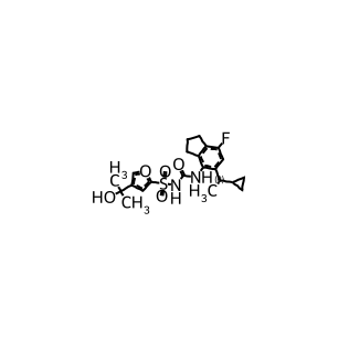 C[C@@H](c1cc(F)c2c(c1NC(=O)NS(=O)(=O)c1cc(C(C)(C)O)co1)CCC2)C1CC1